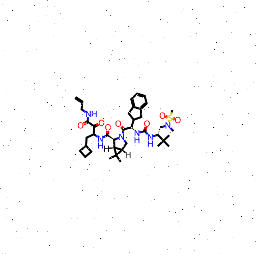 C=CCNC(=O)C(=O)C(CC1CCC1)NC(=O)[C@@H]1[C@@H]2[C@H](CN1C(=O)[C@@H](NC(=O)N[C@H](CN(C)S(C)(=O)=O)C(C)(C)C)C1Cc3ccccc3C1)C2(C)C